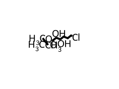 CC(C)(C)OC(=O)C(O)C(O)CCCCl